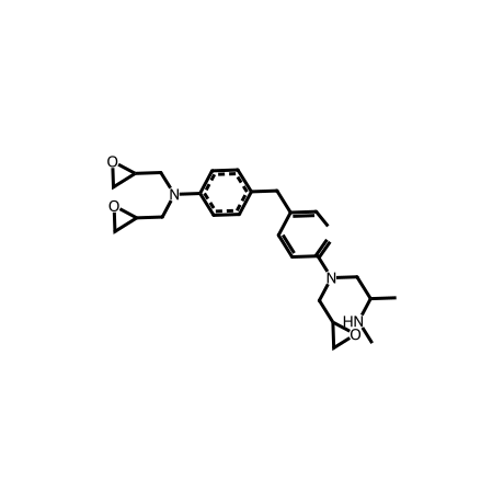 C=C(/C=C\C(=C/C)Cc1ccc(N(CC2CO2)CC2CO2)cc1)N(CC(C)NC)CC1CO1